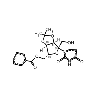 CC1(C)O[C@H]2[C@@H](O1)[C@](CO)(n1ccc(=O)[nH]c1=O)O[C@@H]2COC(=O)c1ccccc1